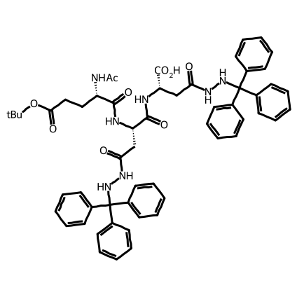 CC(=O)N[C@@H](CCC(=O)OC(C)(C)C)C(=O)N[C@@H](CC(=O)NNC(c1ccccc1)(c1ccccc1)c1ccccc1)C(=O)N[C@@H](CC(=O)NNC(c1ccccc1)(c1ccccc1)c1ccccc1)C(=O)O